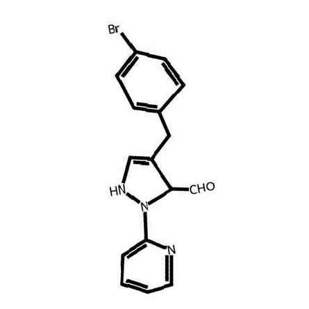 O=CC1C(Cc2ccc(Br)cc2)=CNN1c1ccccn1